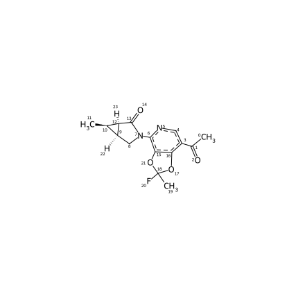 CC(=O)c1cnc(N2C[C@H]3[C@@H](C)[C@H]3C2=O)c2c1OC(C)(F)O2